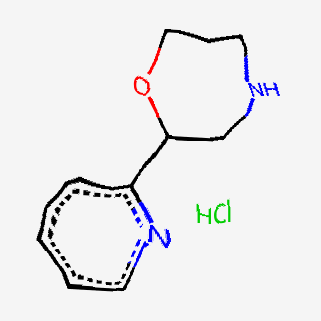 Cl.c1ccc(C2CNCCO2)nc1